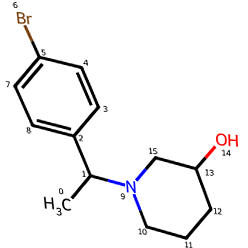 CC(c1ccc(Br)cc1)N1CCCC(O)C1